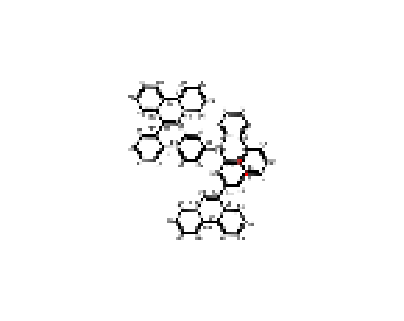 c1ccc(-c2ccccc2N(c2ccc(-c3ccccc3-c3cc4ccccc4c4ccccc34)cc2)c2cccc(-c3cc4ccccc4c4ccccc34)c2)cc1